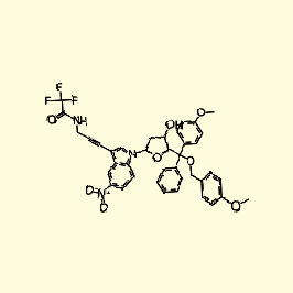 COc1ccc(COC(c2ccccc2)(c2ccc(OC)cc2)C2OC(n3cc(C#CCNC(=O)C(F)(F)F)c4cc([N+](=O)[O-])ccc43)CC2O)cc1